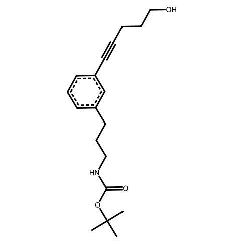 CC(C)(C)OC(=O)NCCCc1cccc(C#CCCCO)c1